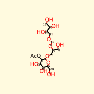 CC(=O)OC1[C@H](OCC(CO)OCOC[C@@H](O)C(O)CO)OC(CO)[C@H](O)[C@@H]1O